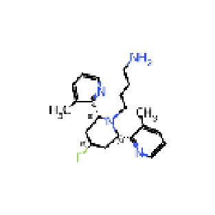 Cc1cccnc1[C@H]1C[C@H](F)C[C@@H](c2ncccc2C)N1CCCCN